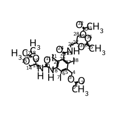 CC(=O)OCc1c(I)c(NC(=O)NC2COC(C)(C)O2)c(I)c(C(=O)NCC(COC(C)=O)OC(C)=O)c1I